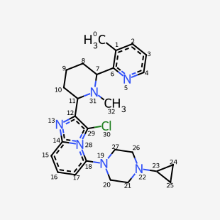 Cc1cccnc1C1CCCC(c2nc3cccc(N4CCN(C5CC5)CC4)n3c2Cl)N1C